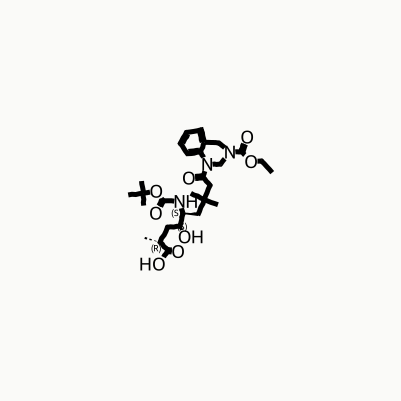 CCOC(=O)N1Cc2ccccc2N(C(=O)CC(C)(C)C[C@H](NC(=O)OC(C)(C)C)[C@@H](O)C[C@@H](C)C(=O)O)C1